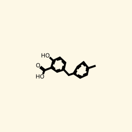 Cc1ccc(Cc2ccc(O)c(C(=O)O)c2)cc1